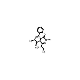 CNC(=O)[C@H](Cc1ccccc1)N(C(=O)C(S)C(C)C)C(=O)[C@@H](N)CC(C)C